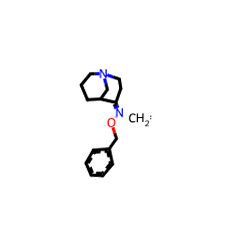 [CH2].c1ccc(CON=C2CCN3CCCC2C3)cc1